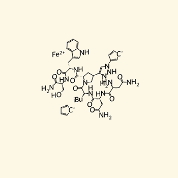 CC[C@H](C)[C@H](NC(=O)[C@H](CC(N)=O)NC(=O)[C@@H](N)CC(N)=O)C(=O)N1CC(C2=CN(c3cc[cH-]c3)NN2)C[C@H]1C(=O)N[C@@H](Cc1c[nH]c2ccccc12)C(=O)N[C@@H](CO)C(N)=O.[Fe+2].c1cc[cH-]c1